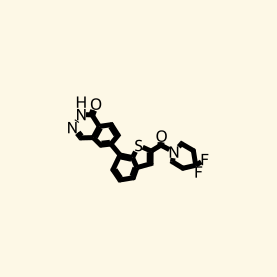 O=C(c1cc2cccc(-c3ccc4c(=O)[nH]ncc4c3)c2s1)N1CCC(F)(F)CC1